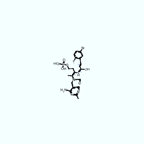 C/C(=C(CCOP(=O)(O)O)/[SH]=C(O)\C=C\c1cc(Br)ccc1F)N(C=O)Cc1cnc(C)nc1N